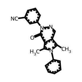 Cc1c2cnn(-c3cccc(C#N)c3)c(=O)c2c(C)n1-c1ccccc1